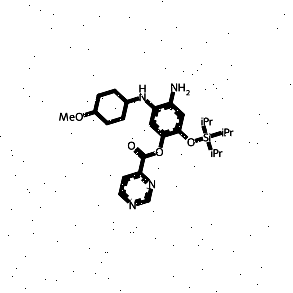 COC1CCC(Nc2cc(OC(=O)c3ccncn3)c(O[Si](C(C)C)(C(C)C)C(C)C)cc2N)CC1